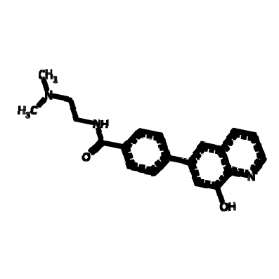 CN(C)CCNC(=O)c1ccc(-c2cc(O)c3ncccc3c2)cc1